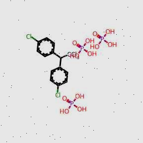 Clc1ccc(C(c2ccc(Cl)cc2)C(Cl)(Cl)Cl)cc1.O=P(O)(O)O.O=P(O)(O)O.O=P(O)(O)O